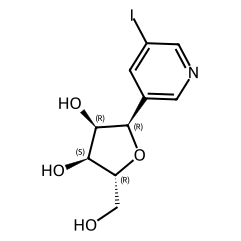 OC[C@H]1O[C@H](c2cncc(I)c2)[C@H](O)[C@@H]1O